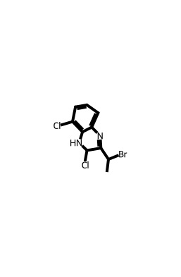 CC(Br)C1=Nc2cccc(Cl)c2NC1Cl